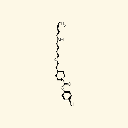 C=CCCNCCCCOCCC1CCN(C(=O)Oc2ccc(Cl)cc2)CC1